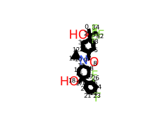 CC(O)(c1ccc(C(=O)N(C2CC2)C2CCC(CO)(c3ccc(F)cc3F)CC2)cc1)C(F)(F)F